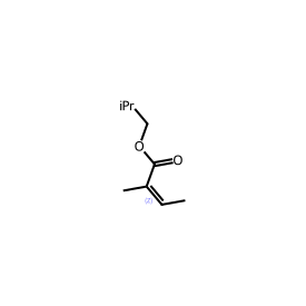 C/C=C(/C)C(=O)OCC(C)C